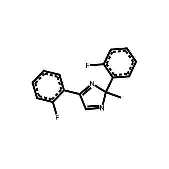 CC1(c2ccccc2F)N=CC(c2ccccc2F)=N1